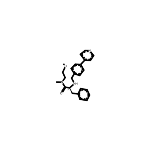 COCCN(C)C(=O)[C@H](Cc1ccccc1)NCc1ccc(-c2ccncc2)cc1